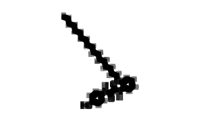 CCCCCCCCCCCCCCCCCCOc1ccccc1NC(=O)C(=O)Nc1ccc(O)cc1